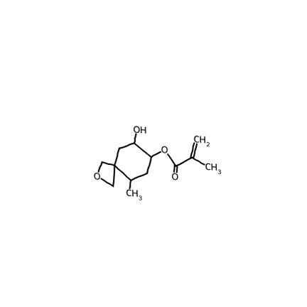 C=C(C)C(=O)OC1CC(C)C2(COC2)CC1O